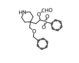 O=COC(CC1(COCc2ccccc2)CCNCC1)S(=O)(=O)c1ccccc1